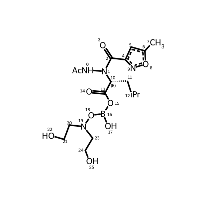 CC(=O)NN(C(=O)c1cc(C)on1)[C@H](CC(C)C)C(=O)OB(O)ON(CCO)CCO